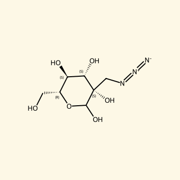 [N-]=[N+]=NC[C@@]1(O)C(O)O[C@H](CO)[C@@H](O)[C@@H]1O